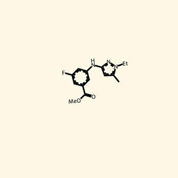 CCn1nc(Nc2cc(F)cc(C(=O)OC)c2)cc1C